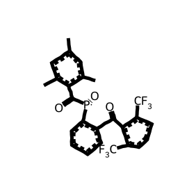 Cc1cc(C)c(C(=O)[P](=O)c2ccccc2C(=O)c2c(C(F)(F)F)cccc2C(F)(F)F)c(C)c1